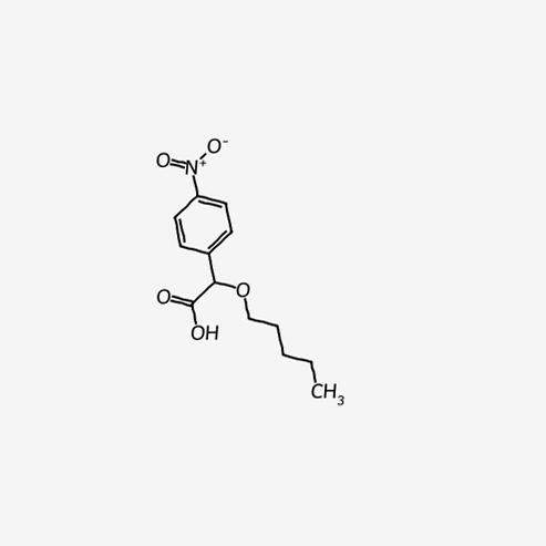 CCCCCOC(C(=O)O)c1ccc([N+](=O)[O-])cc1